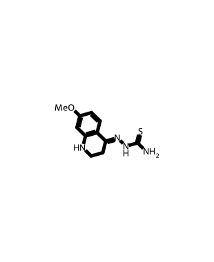 COc1ccc2c(c1)NCCC2=NNC(N)=S